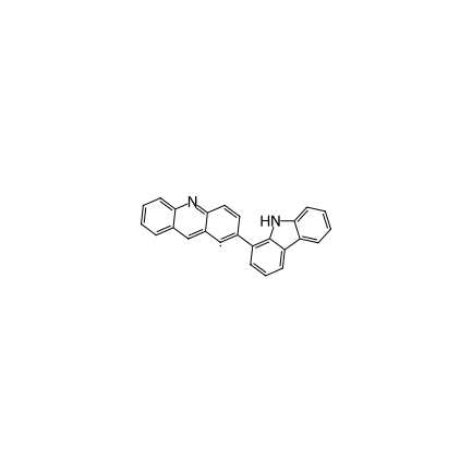 [c]1c(-c2cccc3c2[nH]c2ccccc23)ccc2nc3ccccc3cc12